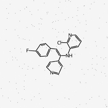 Fc1ccc(/C=C(/Nc2cccnc2Cl)c2ccncc2)cc1